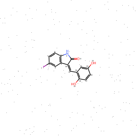 O=C1Nc2ccc(I)cc2C1=Cc1cc(O)ccc1O